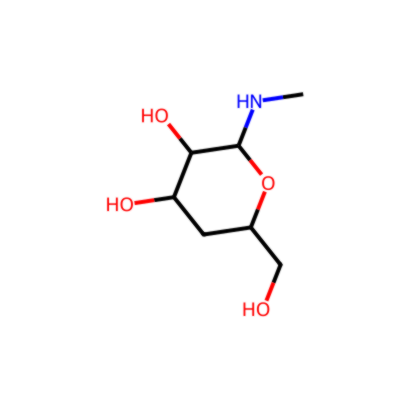 CNC1OC(CO)CC(O)C1O